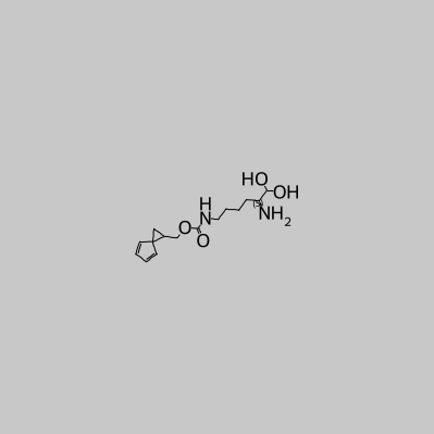 N[C@@H](CCCCNC(=O)OCC1CC12C=CC=C2)C(O)O